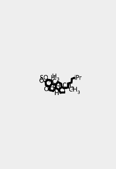 CC(C)CCC[C@@H](C)[C@H]1CC[C@H]2[C@@H]3CC4OC45C[C@@H](OS(=O)(=O)O)CC[C@]5(C)[C@H]3CC[C@]12C